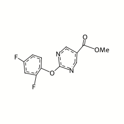 COC(=O)c1cnc(Oc2ccc(F)cc2F)nc1